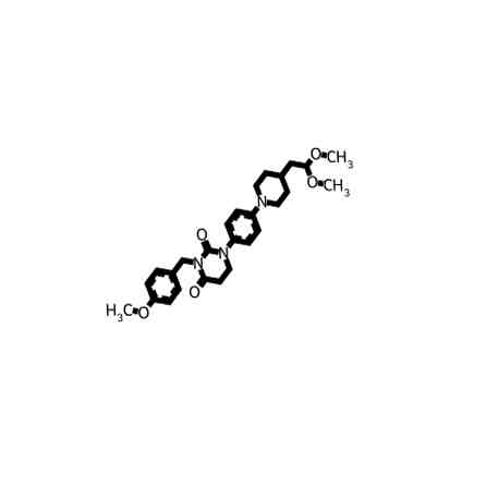 COc1ccc(CN2C(=O)CCN(c3ccc(N4CCC(CC(OC)OC)CC4)cc3)C2=O)cc1